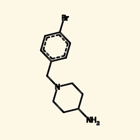 NC1CCN(Cc2ccc(Br)cc2)CC1